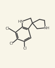 Clc1cc2c(c(Cl)c1Cl)NCC21CCNC1